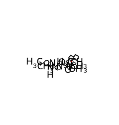 CC(C)c1ccc2nc([C@@H]3CCCN(C(=O)C[C@@H](Cc4ccc5ccccc5c4)N(C(=O)O)C(C)(C)C)C3)[nH]c2c1